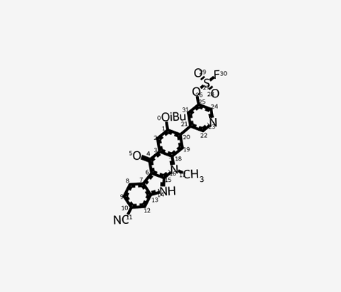 CC(C)COc1cc2c(=O)c3c4ccc(C#N)cc4[nH]c3n(C)c2cc1-c1cncc(OS(=O)(=O)F)c1